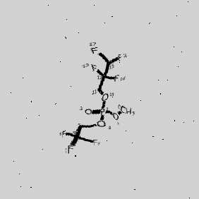 COP(=O)(OCC(F)(F)F)OCC(F)(F)C(F)F